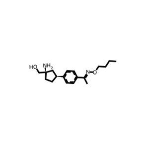 CCCCON=C(C)c1ccc([C@H]2CC[C@](N)(CO)C2)cc1